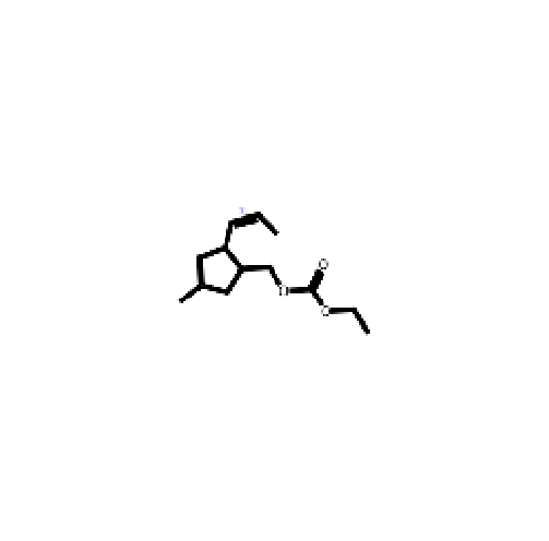 C/C=C\C1CC(C)CC1COC(=O)OCC